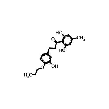 CCCOc1ccc(CCC(=O)c2c(O)cc(C)cc2O)cc1O